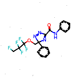 O=C(Nc1ccccc1)C1=NC(COC(F)(F)C(F)(F)CF)(c2ccccc2)N=N1